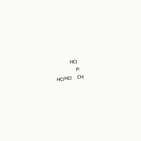 Cl.Cl.Cl.[CH].[P]